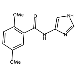 COc1ccc(OC)c(C(=O)Nc2c[nH]cn2)c1